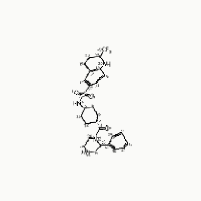 O=C([C@H]1CC[C@H](NS(=O)(=O)c2ccc3c(c2)CCC(C(F)(F)F)N3)CC1)N1CCNCC1c1ccccc1